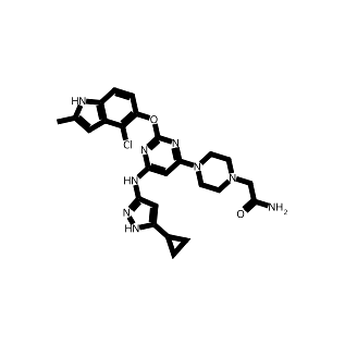 Cc1cc2c(Cl)c(Oc3nc(Nc4cc(C5CC5)[nH]n4)cc(N4CCN(CC(N)=O)CC4)n3)ccc2[nH]1